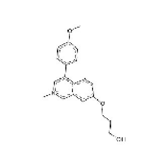 COc1ccc(-c2c[n+](C)cc3cc(OCCCO)ccc23)cc1